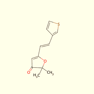 CC1(C)OC(C=Cc2ccsc2)=CC1=O